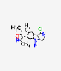 CCc1onc(C)c1-c1cc2[nH]c3ccnc(Cl)c3c2cc1C